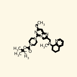 COc1cc2nc(CN(C)C3CCCc4cccnc43)cn2c(N2CCN(C(=O)OC(C)(C)C)CC2)n1